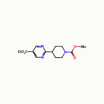 CCOC(=O)c1cnc(C2CCN(C(=O)OC(C)(C)C)CC2)nc1